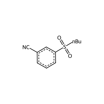 CCCCS(=O)(=O)c1cccc(C#N)c1